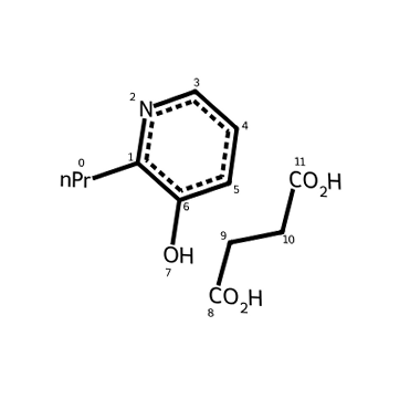 CCCc1ncccc1O.O=C(O)CCC(=O)O